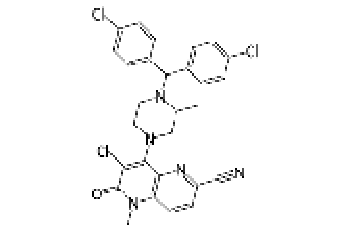 CC1CN(c2c(Cl)c(=O)n(C)c3ccc(C#N)nc23)CCN1C(c1ccc(Cl)cc1)c1ccc(Cl)cc1